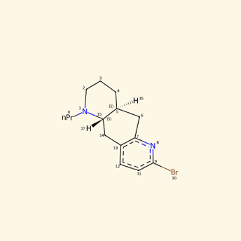 CCCN1CCC[C@H]2Cc3nc(Br)ccc3C[C@@H]21